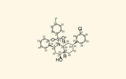 Cc1ccc(S(=O)(=O)N2[C@H](c3ccccc3)C[C@H](O)[C@@H]3CC[C@H](c4cccc(Cl)c4)C[C@@H]32)cc1